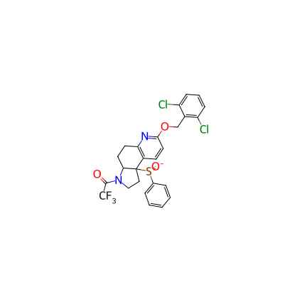 O=C(N1CCC2([S+]([O-])c3ccccc3)c3ccc(OCc4c(Cl)cccc4Cl)nc3CCC12)C(F)(F)F